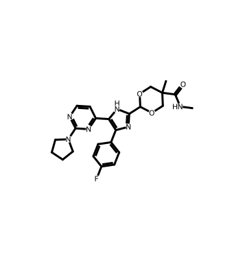 CNC(=O)C1(C)COC(c2nc(-c3ccc(F)cc3)c(-c3ccnc(N4CCCC4)n3)[nH]2)OC1